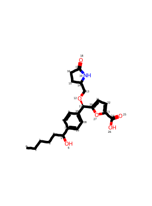 CCCCCC(O)c1ccc([C@@H](OCC2CCC(=O)N2)c2ccc(C(=O)O)o2)cc1